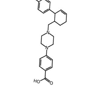 O=C(O)c1ccc(N2CCN(CC3CCC=CC3c3ccc(Cl)cc3)CC2)cc1